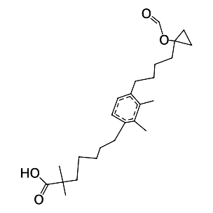 Cc1c(CCCCCC(C)(C)C(=O)O)ccc(CCCCC2(OC=O)CC2)c1C